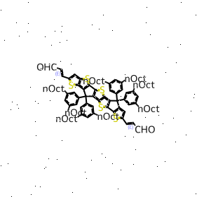 CCCCCCCCc1cc(CCCCCCCC)cc(C2(c3cc(CCCCCCCC)cc(CCCCCCCC)c3)c3cc(/C=C/C=O)sc3-c3sc4c5c(sc4c32)-c2sc3cc(/C=C/C=O)sc3c2C5(c2cc(CCCCCCCC)cc(CCCCCCCC)c2)c2cc(CCCCCCCC)cc(CCCCCCCC)c2)c1